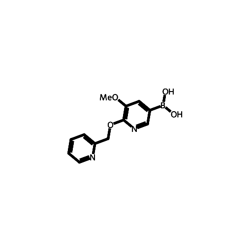 COc1cc(B(O)O)cnc1OCc1ccccn1